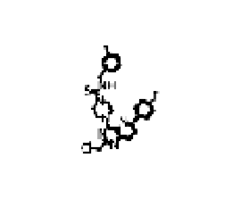 Cc1cccc(CNC(=S)N2CCN(c3nc(CCl)nc4ccc(-c5ccc(F)cc5)nc34)CC2)c1